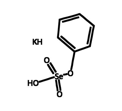 O=[Se](=O)(O)Oc1ccccc1.[KH]